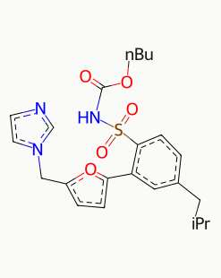 CCCCOC(=O)NS(=O)(=O)c1ccc(CC(C)C)cc1-c1ccc(Cn2ccnc2)o1